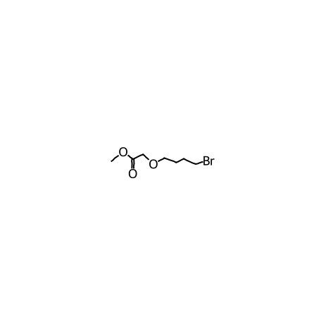 COC(=O)COCCCCBr